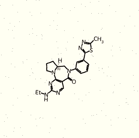 CCNc1ncc2c(n1)N1CCC[C@H]1CN(c1cccc(-c3nnc(C)s3)c1)C2=O